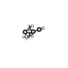 COc1ccc(-c2cc(OC(C)=O)c3c(-c4c(Cl)cccc4Cl)c(N)oc3c2)cc1